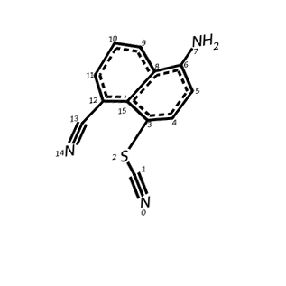 N#CSc1ccc(N)c2cccc(C#N)c12